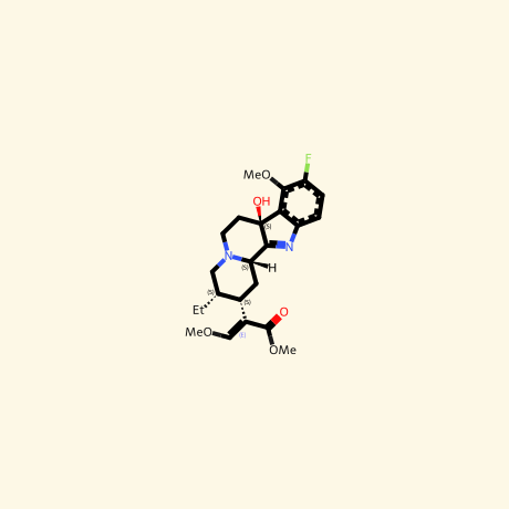 CC[C@@H]1CN2CC[C@@]3(O)C(=Nc4ccc(F)c(OC)c43)[C@@H]2C[C@@H]1/C(=C\OC)C(=O)OC